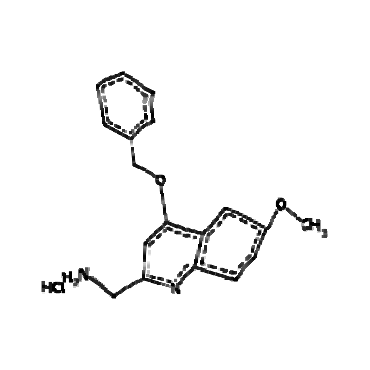 COc1ccc2nc(CN)cc(OCc3ccccc3)c2c1.Cl